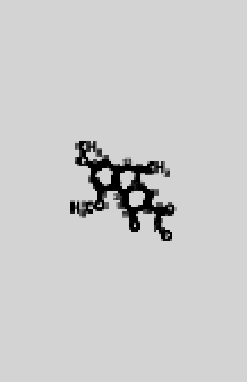 COc1cc2c(c(OC)c1)-c1cc(=O)c(C(=O)N=O)cn1C(C)C2